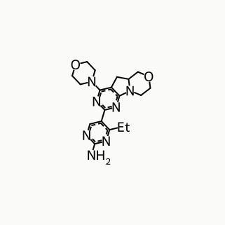 CCc1nc(N)ncc1-c1nc(N2CCOCC2)c2c(n1)N1CCOCC1C2